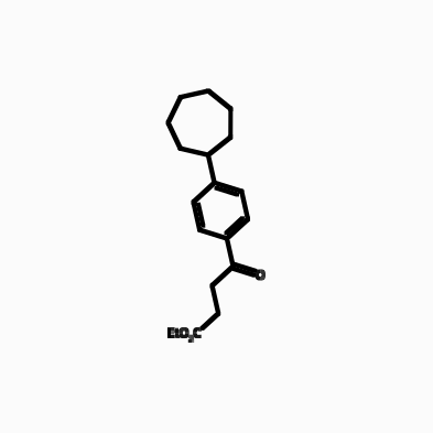 CCOC(=O)CCC(=O)c1ccc(C2CCCCCC2)cc1